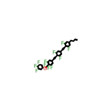 C=CCCc1cc(F)c(C#CC2=CC(F)C(C#Cc3cc(F)c(C(F)(F)OC4=CC(F)C(F)C(F)=C4)c(F)c3)C(F)=C2)c(F)c1